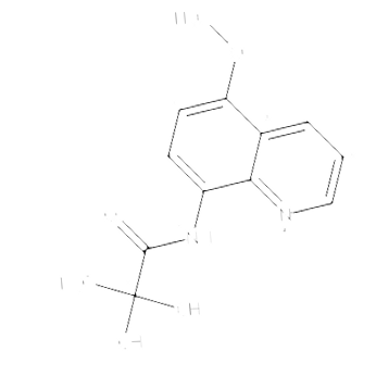 COc1ccc(NC(=O)C(C)(C)C)c2ncccc12